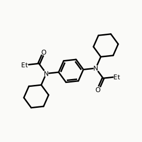 CCC(=O)N(c1ccc(N(C(=O)CC)C2CCCCC2)cc1)C1CCCCC1